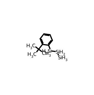 CC(C)(C)c1ccccc1[SiH2][SiH2][SiH3]